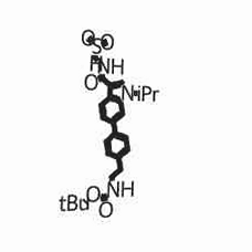 CC(C)n1cc(C(=O)NC[SH](=O)=O)c2ccc(-c3ccc(CCNC(=O)OC(C)(C)C)cc3)cc21